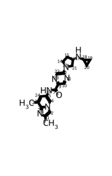 Cc1cn2cc(NC(=O)c3cnc(N4CC[C@@H](NC5CC5)C4)cn3)cc(C)c2n1